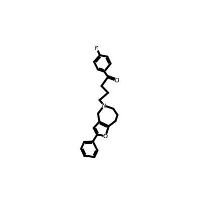 O=C(CCCN1CCCc2oc(-c3ccccc3)cc2C1)c1ccc(F)cc1